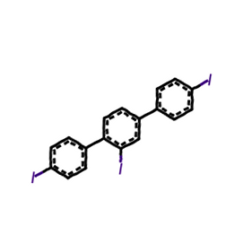 Ic1ccc(-c2ccc(-c3ccc(I)cc3)c(I)c2)cc1